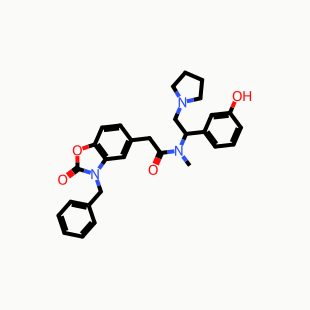 CN(C(=O)Cc1ccc2oc(=O)n(Cc3ccccc3)c2c1)C(CN1CCCC1)c1cccc(O)c1